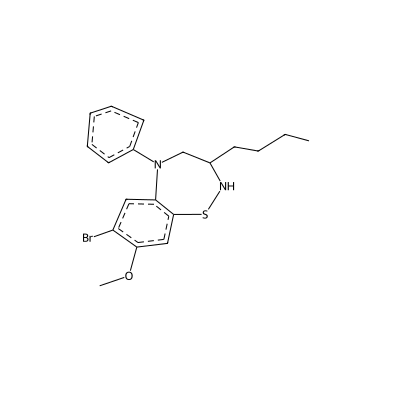 CCCCC1CN(c2ccccc2)c2cc(Br)c(OC)cc2SN1